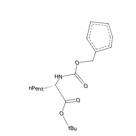 CCCCC[C@H](NC(=O)OCc1ccccc1)C(=O)OC(C)(C)C